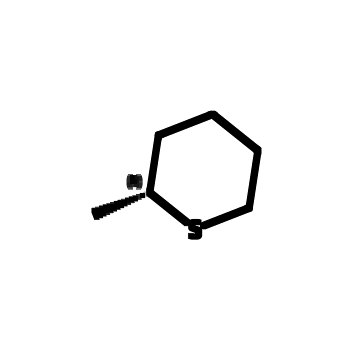 C[C@@H]1CCCCS1